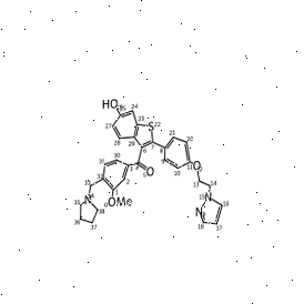 COc1cc(C(=O)c2c(-c3ccc(OCCn4cccn4)cc3)sc3cc(O)ccc23)ccc1CN1CCCC1